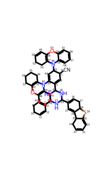 N#CC1C=C(C2NC(C3=CCCC=C3)NC(C3=CCC4SC5=CC=CCC5C4=C3)N2)C(N2C3=C(CCCC3)OC3=C2CCCC3)=CC1N1C2=C(C=CCC2)Oc2ccccc21